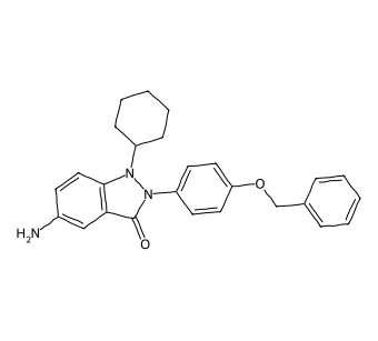 Nc1ccc2c(c1)c(=O)n(-c1ccc(OCc3ccccc3)cc1)n2C1CCCCC1